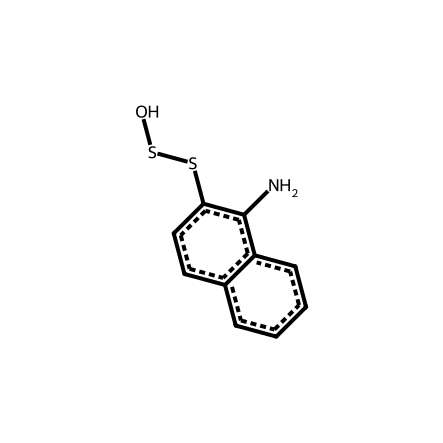 Nc1c(SSO)ccc2ccccc12